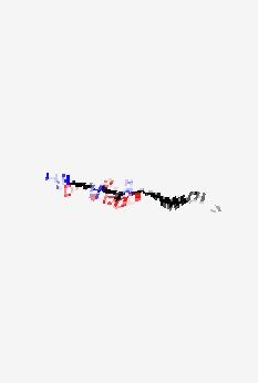 CCCCCCCCCCCCCC(=O)N[C@@H](CCC(=O)NCCCCCC(N)=O)C(=O)O